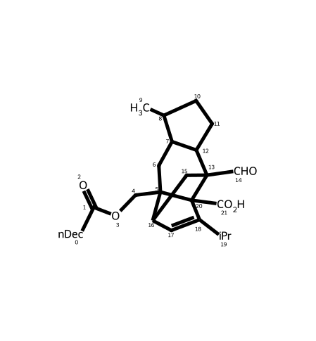 CCCCCCCCCCC(=O)OCC12CC3C(C)CCC3C3(C=O)CC1C=C(C(C)C)C32C(=O)O